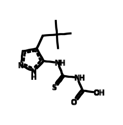 CC(C)(C)Cc1cn[nH]c1NC(=S)NC(=O)O